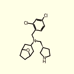 Clc1ccc(CN(C[C@H]2CCNC2)C2CC3CCC(C2)O3)c(Cl)c1